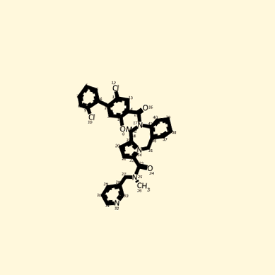 COc1cc(-c2ccccc2Cl)c(Cl)cc1C(=O)N1Cc2ccc(C(=O)N(C)Cc3cccnc3)n2Cc2ccccc21